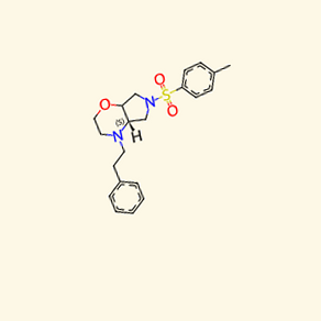 Cc1ccc(S(=O)(=O)N2CC3OCCN(CCc4ccccc4)[C@H]3C2)cc1